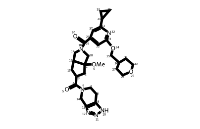 COC12CC(C(=O)N3CCc4[nH]nnc4C3)CC1CN(C(=O)c1cc(OCC3CCOCC3)nc(C3CC3)c1)C2